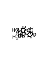 Cn1nc(C2CCC(=O)NC2=O)c2cccc(C(=O)O)c21